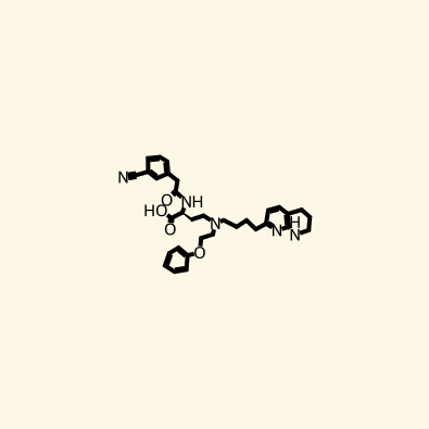 N#Cc1cccc(CC(=O)N[C@@H](CCN(CCCCc2ccc3c(n2)NCCC3)CCOc2ccccc2)C(=O)O)c1